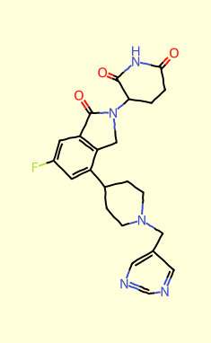 O=C1CCC(N2Cc3c(cc(F)cc3C3CCN(Cc4cncnc4)CC3)C2=O)C(=O)N1